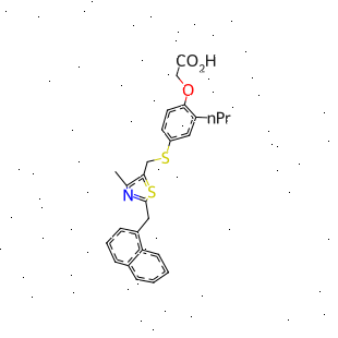 CCCc1cc(SCc2sc(Cc3cccc4ccccc34)nc2C)ccc1OCC(=O)O